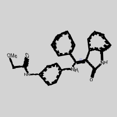 COCC(=O)Nc1ccc(N/C(=C2\C(=O)Nc3ccccc32)c2ccccc2)cc1